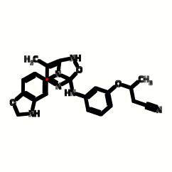 CC1=C2NOC(Nc3cccc(OC(C)CC#N)c3)(N=C1)N2c1ccc2c(c1)NCO2